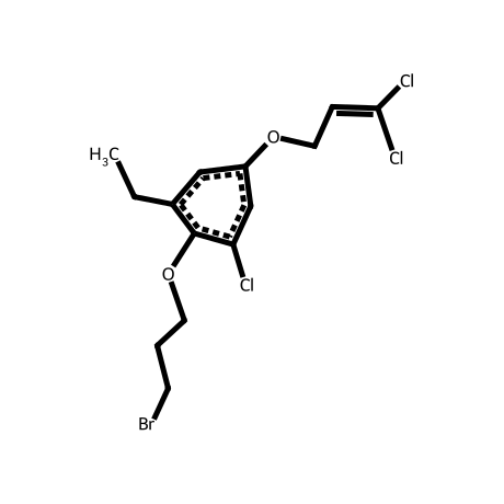 CCc1cc(OCC=C(Cl)Cl)cc(Cl)c1OCCCBr